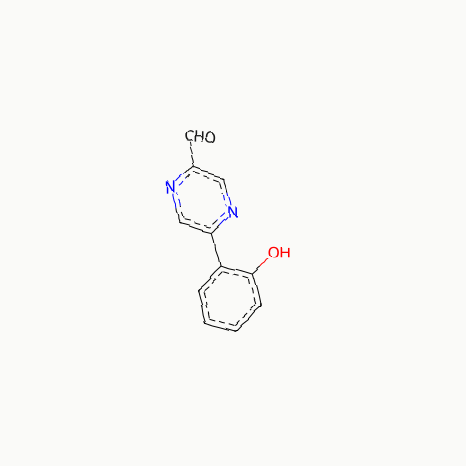 O=Cc1cnc(-c2ccccc2O)cn1